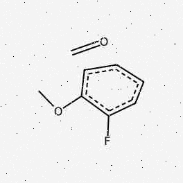 C=O.COc1ccccc1F